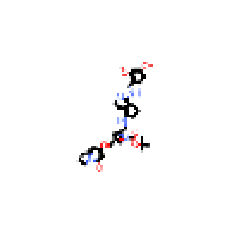 COc1ccc(CNc2nccc3c(NCC45CC(COc6cc7n(c(=O)c6)CCC7)(CN4C(=O)OC(C)(C)C)C5)cccc23)c(OC)c1